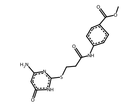 COC(=O)c1ccc(NC(=O)CCSc2nc(N)cc(=O)[nH]2)cc1